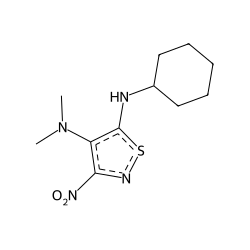 CN(C)c1c([N+](=O)[O-])nsc1NC1CCCCC1